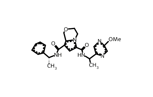 COc1cnc(C(C)NC(=O)c2cc(C(=O)N[C@H](C)c3ccccc3)c3n2CCOC3)cn1